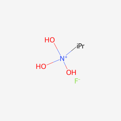 CC(C)[N+](O)(O)O.[F-]